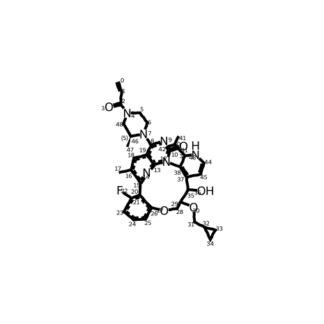 C=CC(=O)N1CCN(c2nc(=O)n3c4nc(c(C)cc24)-c2c(F)cccc2OCC(OCC2CC2)C(O)C2=C3C(C(C)C)NC=C2)[C@@H](C)C1